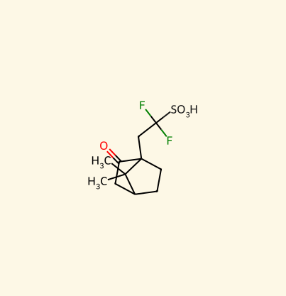 CC1(C)C2CCC1(CC(F)(F)S(=O)(=O)O)C(=O)C2